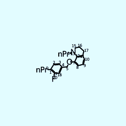 CCCc1ccc(COc2cccc3c2N(CCC)CCC3)cc1F